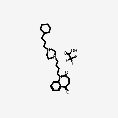 O=C(O)C(F)(F)F.O=C1CCC(=O)N(CCCCN2CCN(CCCC3CCCCC3)CC2)c2ccccc21